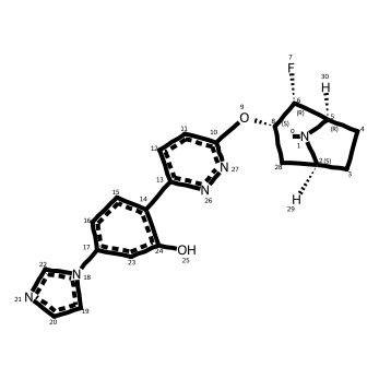 CN1[C@H]2CC[C@@H]1[C@@H](F)[C@@H](Oc1ccc(-c3ccc(-n4ccnc4)cc3O)nn1)C2